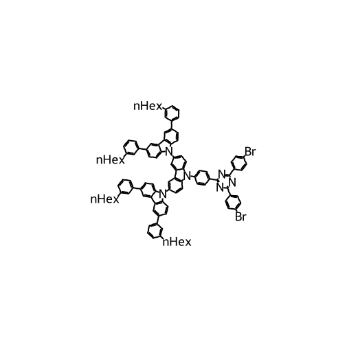 CCCCCCc1cccc(-c2ccc3c(c2)c2cc(-c4cccc(CCCCCC)c4)ccc2n3-c2ccc3c(c2)c2cc(-n4c5ccc(-c6cccc(CCCCCC)c6)cc5c5cc(-c6cccc(CCCCCC)c6)ccc54)ccc2n3-c2ccc(-c3nc(-c4ccc(Br)cc4)nc(-c4ccc(Br)cc4)n3)cc2)c1